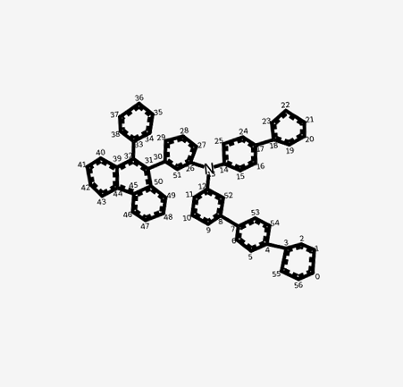 c1ccc(-c2ccc(-c3cccc(N(c4ccc(-c5ccccc5)cc4)c4cccc(-c5c(-c6ccccc6)c6ccccc6c6ccccc56)c4)c3)cc2)cc1